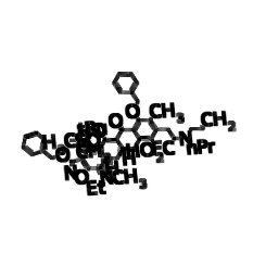 C=CCN(CCC)C(Cc1c(C)c(OCc2ccccc2)c2c(c1F)C[C@H]1C[C@H]3[C@H](N(C)CC)c4onc(OCc5ccccc5)c4C(=O)[C@@]3(O[Si](C)(C)C(C)(C)C)C(O)=C1C2=O)C(=O)O